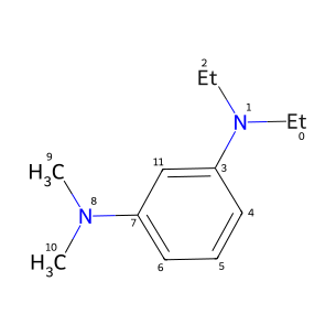 CCN(CC)c1cccc(N(C)C)c1